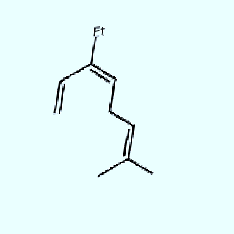 C=CC(=CCC=C(C)C)CC